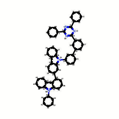 c1ccc(-c2nc(-c3ccccc3)nc(-c3cccc(-c4cccc(-n5c6ccccc6c6ccc(-c7cccc8c7c7ccccc7n8-c7ccccc7)cc65)c4)c3)n2)cc1